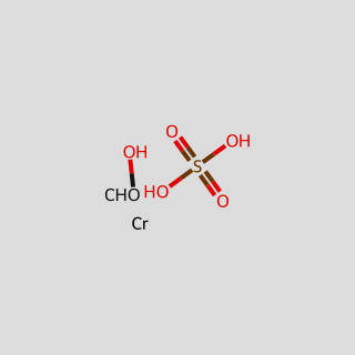 O=CO.O=S(=O)(O)O.[Cr]